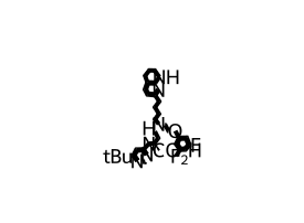 CC(C)(C)c1cc(N[C@@H](CCN(CCCCc2ccc3c(n2)NCCC3)CCOc2cc(F)cc(F)c2)C(=O)O)ncn1